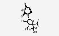 O=c1ccn([C@@H]2O[C@](C(F)F)(C(O)(F)F)[C@@H](O)[C@H]2O)c(=O)[nH]1